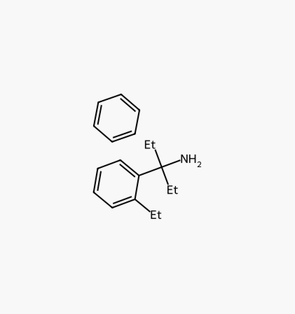 CCc1ccccc1C(N)(CC)CC.c1ccccc1